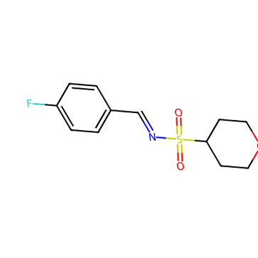 O=S(=O)(N=Cc1ccc(F)cc1)C1CCOCC1